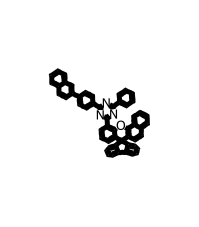 c1ccc(-c2nc(-c3ccc(-c4ccc5ccccc5c4)cc3)nc(-c3cccc4c3Oc3c(ccc5ccccc35)C43c4ccccc4-c4ccccc43)n2)cc1